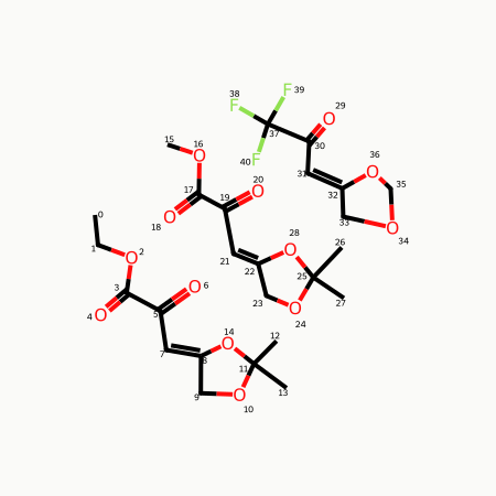 CCOC(=O)C(=O)C=C1COC(C)(C)O1.COC(=O)C(=O)C=C1COC(C)(C)O1.O=C(C=C1COCO1)C(F)(F)F